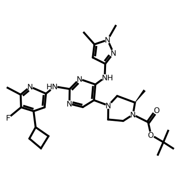 Cc1nc(Nc2ncc(N3CCN(C(=O)OC(C)(C)C)[C@H](C)C3)c(Nc3cc(C)n(C)n3)n2)cc(C2CCC2)c1F